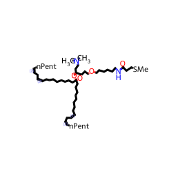 CCCCC/C=C\C/C=C\CCCCCCCCC1(CCCCCCCC/C=C\C/C=C\CCCCC)OC(CCOCCCCCCNC(=O)CCSC)C(CCN(C)C)O1